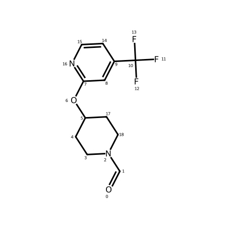 O=CN1CCC(Oc2cc(C(F)(F)F)ccn2)CC1